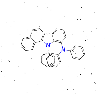 c1ccc(N(c2ccccc2)c2cccc3c4ccc5ccccc5c4n(-c4ccccc4)c23)cc1